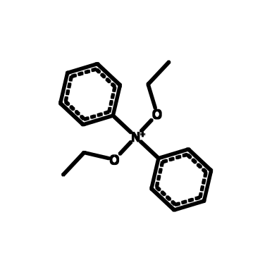 CCO[N+](OCC)(c1ccccc1)c1ccccc1